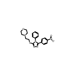 O=[N+]([O-])c1ccc(-c2nnc(SCCN3CCOCC3)n2-c2ccccc2)cc1